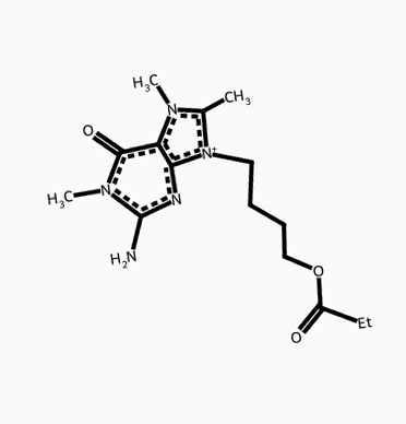 CCC(=O)OCCCC[n+]1c(C)n(C)c2c(=O)n(C)c(N)nc21